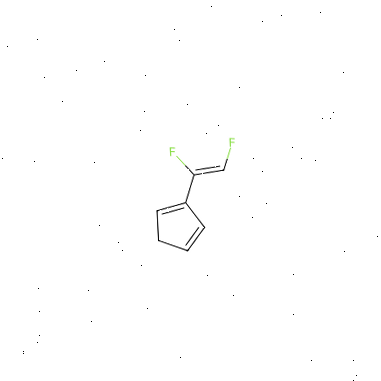 FC=C(F)C1=CCC=C1